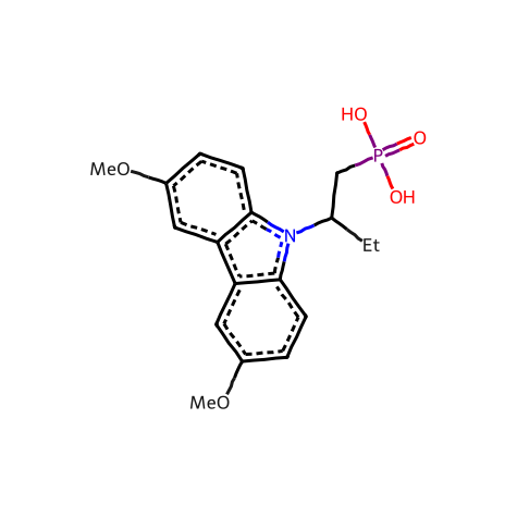 CCC(CP(=O)(O)O)n1c2ccc(OC)cc2c2cc(OC)ccc21